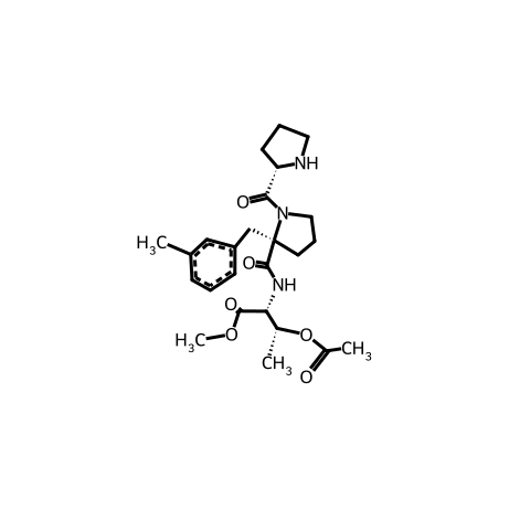 COC(=O)[C@H](NC(=O)[C@]1(Cc2cccc(C)c2)CCCN1C(=O)[C@@H]1CCCN1)[C@@H](C)OC(C)=O